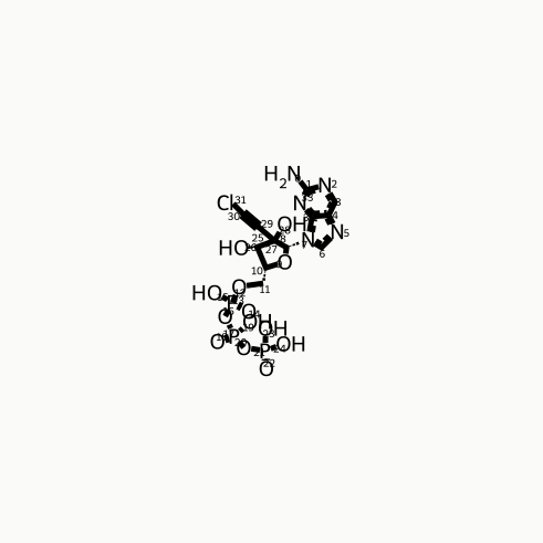 Nc1ncc2ncn([C@@H]3O[C@H](COP(=O)(O)OP(=O)(O)OP(=O)(O)O)[C@H](O)C3(O)C#CCl)c2n1